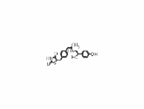 CC(Cc1ccc(CC2SC(=O)NC2=O)cc1)NCC(O)c1ccc(O)cc1